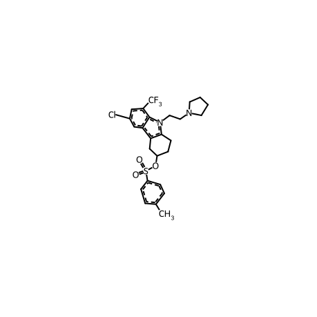 Cc1ccc(S(=O)(=O)OC2CCc3c(c4cc(Cl)cc(C(F)(F)F)c4n3CCN3CCCC3)C2)cc1